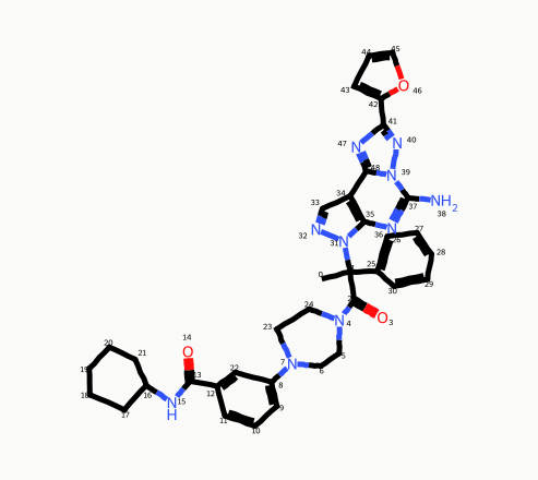 CC(C(=O)N1CCN(c2cccc(C(=O)NC3CCCCC3)c2)CC1)(c1ccccc1)n1ncc2c1nc(N)n1nc(-c3ccco3)nc21